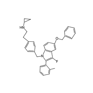 Cc1ccccc1-c1c(F)c2cc(OCc3ccccc3)ccc2n1Cc1ccc(CCNC2CC2)cc1